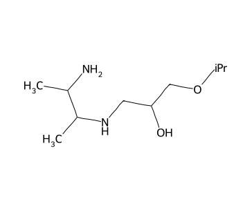 CC(C)OCC(O)CNC(C)C(C)N